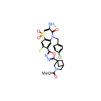 COC(=O)N1CC2CC(c3nnc(-c4cc5c(cc4F)S(=O)(=O)C=C(N)C(=O)N5Cc4ccc(Cl)cc4)o3)(C2)C1